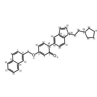 O=c1cc(OCc2ccc3ccccc3c2)ccn1-c1ccc2c(cnn2CCN2CCCC2)c1